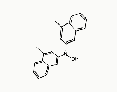 Cc1cc(N(O)c2cc(C)c3ccccc3c2)cc2ccccc12